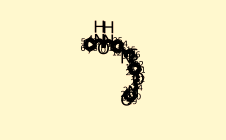 O=C(Nc1ccccc1)Nc1ccc(-c2csc(-c3ccc(OCCN4CCOCC4)cc3)n2)cc1